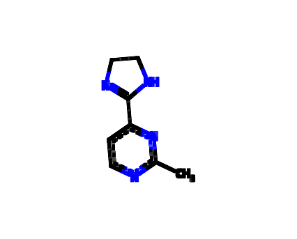 Cc1nccc(C2=NCCN2)n1